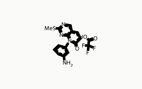 CSc1ncc2ccc(=O)n(-c3cccc(N)c3)c2n1.O=C(O)C(F)(F)F